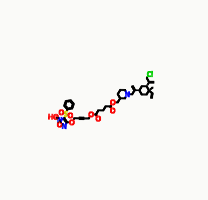 C=C[C@]1(C)CC[C@@H](C(=C)CN2CCCC(COC(=O)CCCC(=O)OCC#CCOc3no[n+](O)c3S(=O)(=O)c3ccccc3)C2)C[C@H]1C(=C)CCl